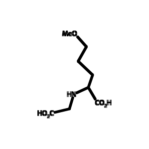 COCCCC(NCC(=O)O)C(=O)O